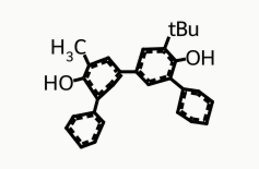 Cc1cc(-c2cc(-c3ccccc3)c(O)c(C(C)(C)C)c2)cc(-c2ccccc2)c1O